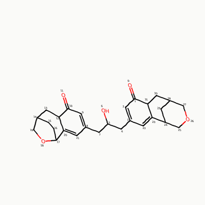 O=C1C=C(CC(O)CC2=CC(=O)C3CC4CCC(OC4)C3=C2)C=C2C3COCC(C3)CC12